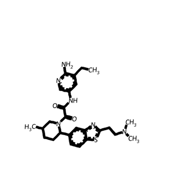 CCc1cc(NC(=O)C(=O)N2CC(C)CCC2c2ccc3sc(CCN(C)C)nc3c2)cnc1N